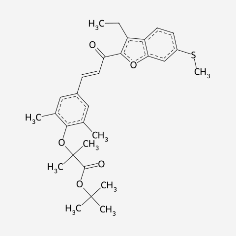 CCc1c(C(=O)/C=C/c2cc(C)c(OC(C)(C)C(=O)OC(C)(C)C)c(C)c2)oc2cc(SC)ccc12